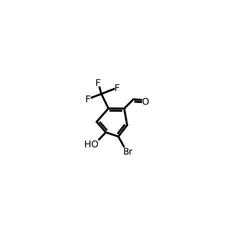 O=Cc1cc(Br)c(O)cc1C(F)(F)F